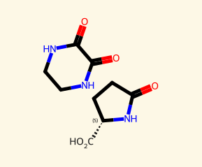 O=C1CC[C@@H](C(=O)O)N1.O=C1NCCNC1=O